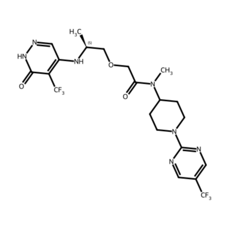 C[C@@H](COCC(=O)N(C)C1CCN(c2ncc(C(F)(F)F)cn2)CC1)Nc1cn[nH]c(=O)c1C(F)(F)F